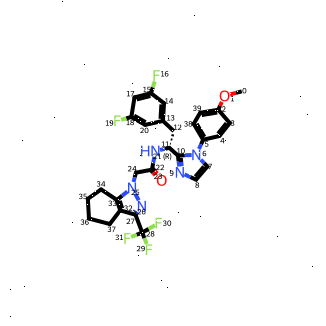 COc1ccc(-n2ccnc2[C@@H](Cc2cc(F)cc(F)c2)NC(=O)Cn2nc(C(F)(F)F)c3c2CCCC3)cc1